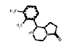 Cc1cccc(C2NCCN3C(=O)CCC23)c1C